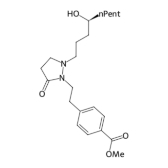 CCCCC[C@H](O)CCCN1CCC(=O)N1CCc1ccc(C(=O)OC)cc1